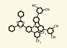 N#Cc1cc(C#N)cc(-c2ccc3c(c2)c2cc(-c4cc(C#N)cc(C#N)c4)ccc2n3-c2cc(-c3nc(-c4ccccc4)nc(-c4ccccc4)n3)ccc2-c2cc(C(F)(F)F)cc(C(F)(F)F)c2)c1